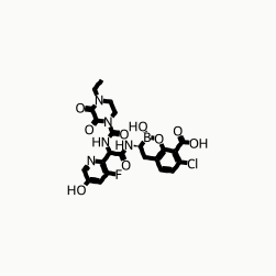 CCN1CCN(C(=O)NC(C(=O)N[C@H]2Cc3ccc(Cl)c(C(=O)O)c3OB2O)c2ncc(O)cc2F)C(=O)C1=O